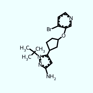 CC(C)(C)n1nc(N)cc1C1CCC(Oc2cnccc2Br)C1